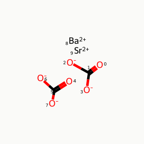 O=C([O-])[O-].O=C([O-])[O-].[Ba+2].[Sr+2]